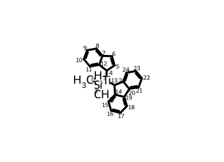 C[SiH](C)[Ti]([CH]1C=Cc2ccccc21)[CH]1c2ccccc2-c2ccccc21